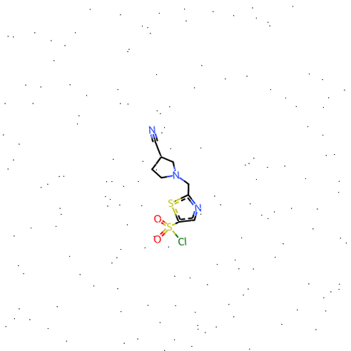 N#CC1CCN(Cc2ncc(S(=O)(=O)Cl)s2)C1